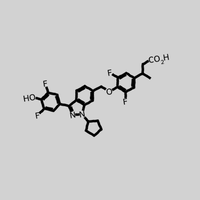 CC(CC(=O)O)c1cc(F)c(OCc2ccc3c(-c4cc(F)c(O)c(F)c4)nn(C4CCCC4)c3c2)c(F)c1